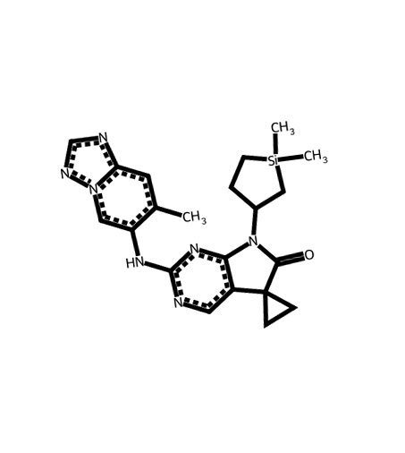 Cc1cc2ncnn2cc1Nc1ncc2c(n1)N(C1CC[Si](C)(C)C1)C(=O)C21CC1